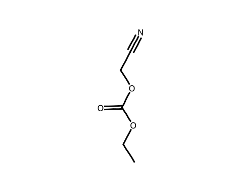 CCOC(=O)OCC#N